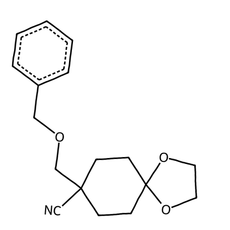 N#CC1(COCc2ccccc2)CCC2(CC1)OCCO2